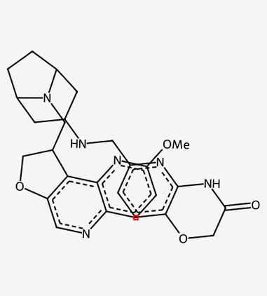 COc1ccc2ncc3c(c2n1)C(CN1C2CCC1CC(NCc1ccc4c(n1)NC(=O)CO4)C2)CO3